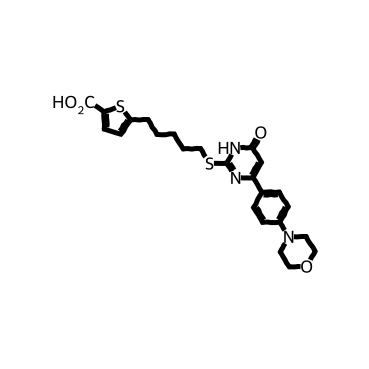 O=C(O)c1ccc(CCCCCSc2nc(-c3ccc(N4CCOCC4)cc3)cc(=O)[nH]2)s1